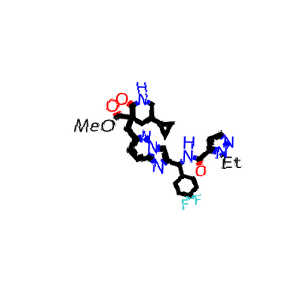 CCn1nccc1C(=O)NC(c1cn2nc(CC3(C(=O)OC)CC(C4CC4)CNC3=O)ccc2n1)C1CCC(F)(F)CC1